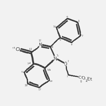 CCOC(=O)COn1c(-c2ccccc2)nc(=O)c2ccccc21